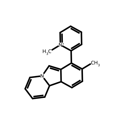 CC1=C(c2cccc[n+]2C)C2=CN3C=CC=CC3C2C=C1